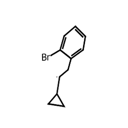 Brc1ccccc1C[CH]C1CC1